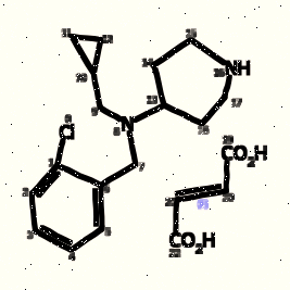 Clc1ccccc1CN(CC1CC1)C1CCNCC1.O=C(O)/C=C/C(=O)O